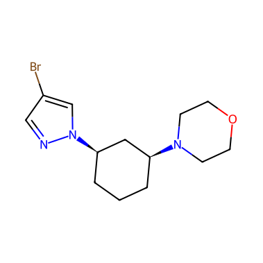 Brc1cnn([C@@H]2CCC[C@H](N3CCOCC3)C2)c1